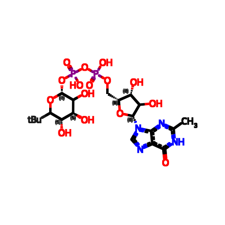 Cc1nc2c(ncn2[C@@H]2O[C@H](COP(=O)(O)OP(=O)(O)O[C@H]3OC(C(C)(C)C)[C@@H](O)[C@H](O)C3O)[C@H](O)C2O)c(=O)[nH]1